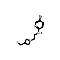 FCC1CN(CCNc2ccc(Br)cn2)C1